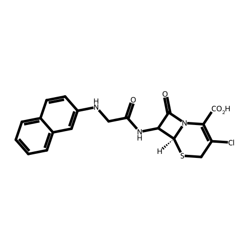 O=C(CNc1ccc2ccccc2c1)NC1C(=O)N2C(C(=O)O)=C(Cl)CS[C@@H]12